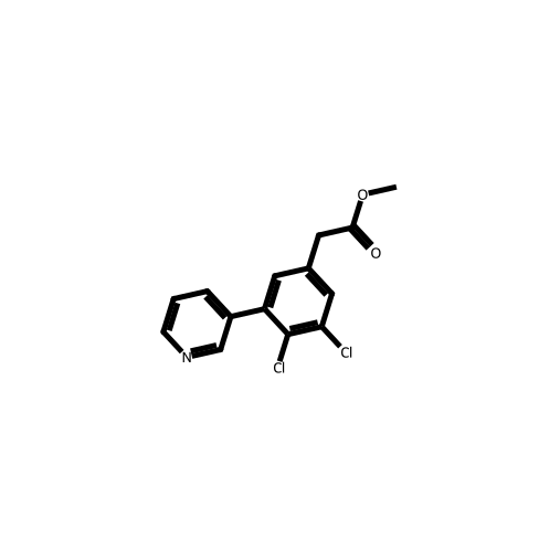 COC(=O)Cc1cc(Cl)c(Cl)c(-c2cccnc2)c1